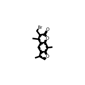 Cc1coc2c(C)c3oc(=O)c(CBr)c(C)c3cc12